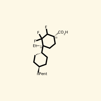 CCCCC[C@H]1CC[C@H]([C@]2(CC)CC[C@@H](C(=O)O)C(F)C2(F)F)CC1